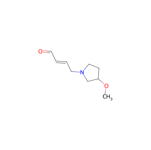 COC1CCN(CC=CC=O)C1